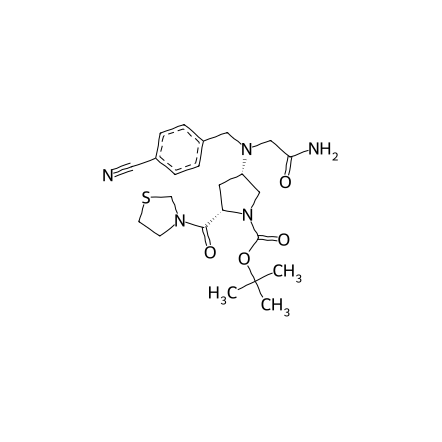 CC(C)(C)OC(=O)N1C[C@@H](N(CC(N)=O)Cc2ccc(C#N)cc2)C[C@H]1C(=O)N1CCSC1